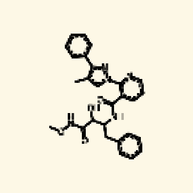 CONC(=O)C(O)C(Cc1ccccc1)NC(=O)c1cccnc1-n1cc(C)c(-c2ccccc2)n1